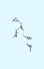 C/N=C/NCCN(/C=N/C)CC1C=C1